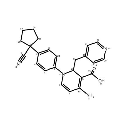 N#CC1(c2ccc(N3C=CC(N)=C(C(=O)O)C3Cc3ccncc3)cc2)CCCC1